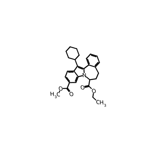 CCOC(=O)C1CCc2ccccc2-c2c(C3CCCCC3)c3ccc(C(=O)OC)cc3n21